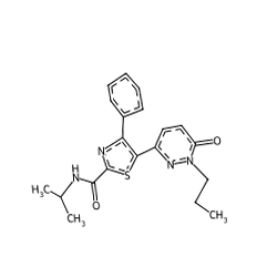 CCCn1nc(-c2sc(C(=O)NC(C)C)nc2-c2ccccc2)ccc1=O